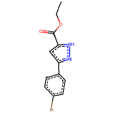 CCOC(=O)c1cc(-c2ccc(Br)cc2)n[nH]1